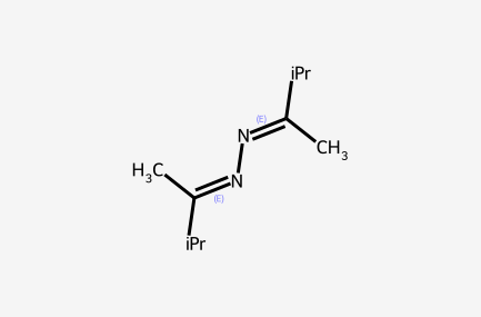 C/C(=N\N=C(/C)C(C)C)C(C)C